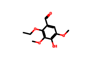 CCOc1c(C=O)cc(OC)c(O)c1OC